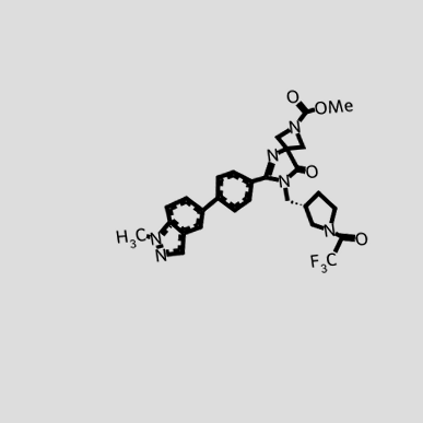 COC(=O)N1CC2(C1)N=C(c1ccc(-c3ccc4c(cnn4C)c3)cc1)N(C[C@@H]1CCN(C(=O)C(F)(F)F)C1)C2=O